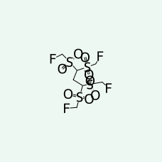 O=S(=O)(CF)C(CC(S(=O)(=O)CF)S(=O)(=O)CF)S(=O)(=O)CF